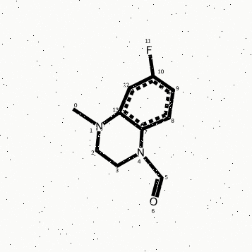 CN1CCN(C=O)c2ccc(F)cc21